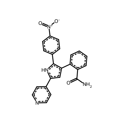 NC(=O)c1ccccc1-c1cc(-c2ccncc2)[nH]c1-c1ccc([N+](=O)[O-])cc1